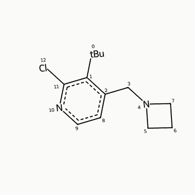 CC(C)(C)c1c(CN2CCC2)ccnc1Cl